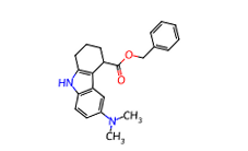 CN(C)c1ccc2[nH]c3c(c2c1)C(C(=O)OCc1ccccc1)CCC3